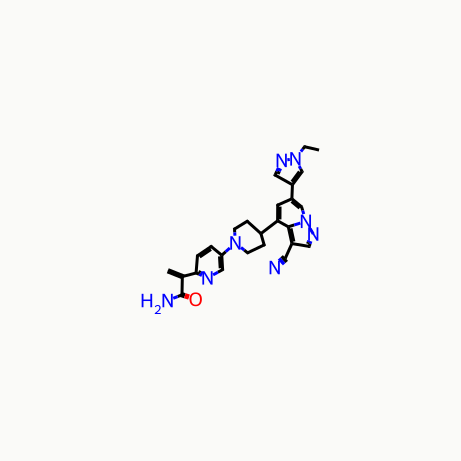 C=C(C(N)=O)c1ccc(N2CCC(c3cc(-c4cnn(CC)c4)cn4ncc(C#N)c34)CC2)cn1